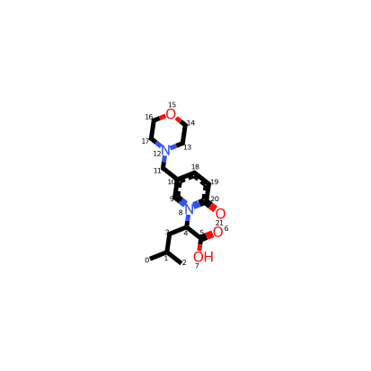 CC(C)CC(C(=O)O)n1cc(CN2CCOCC2)ccc1=O